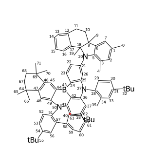 Cc1cc(C)c2c(c1)C1(C)CCc3ccccc3C1(C)N2c1ccc2c(c1)N(c1ccc(C(C)(C)C)cc1C)c1cc(C(C)(C)C)cc3c1B2c1cc2c(cc1N3c1ccc(C(C)(C)C)cc1-c1ccccc1)C(C)(C)CCC2(C)C